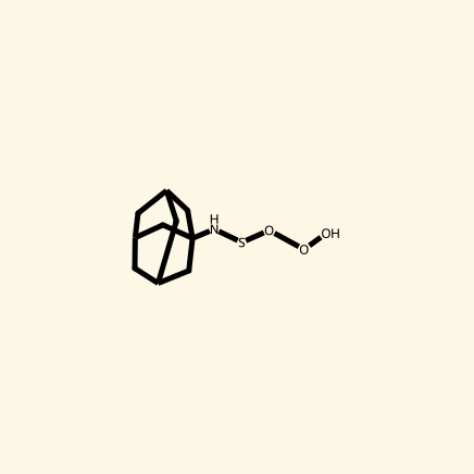 OOOSNC12CC3CC(CC(C3)C1)C2